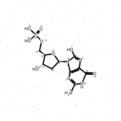 Nc1nc2c(nc(O)n2[C@H]2C[C@H](O)[C@@H](COP(=O)(O)O)O2)c(=O)[nH]1